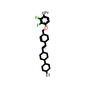 CCCc1ccc(OCC2C=CC(/C=C/C3CCC(C4CCC(CC)CC4)CC3)CC2)c(F)c1F